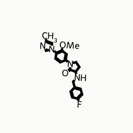 COc1cc(N2CCC(NCc3ccc(F)cc3)C2=O)ccc1-n1cnc(C)c1